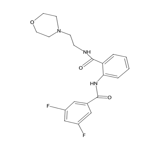 O=C(Nc1ccccc1C(=O)NCCN1CCOCC1)c1cc(F)cc(F)c1